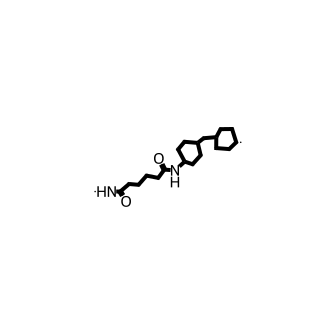 [NH]C(=O)CCCCC(=O)NC1CCC(CC2CC[CH]CC2)CC1